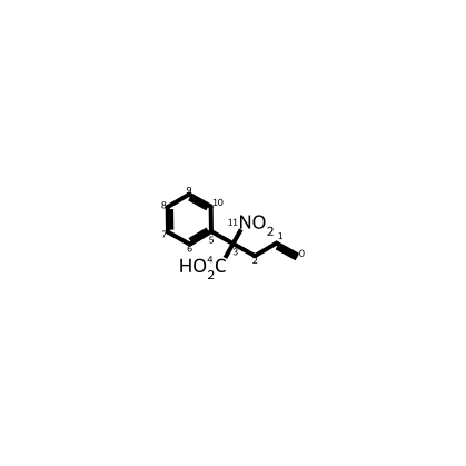 C=CCC(C(=O)O)(c1ccccc1)[N+](=O)[O-]